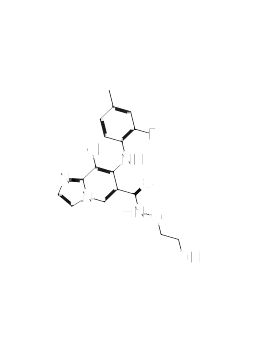 Cc1ccc(Nc2c(C(=O)NOCCO)cn3ccnc3c2Cl)c(F)c1